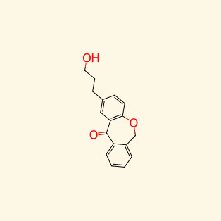 O=C1c2ccccc2COc2ccc(CCCO)cc21